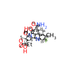 CC[C@@]1(O)C(=O)OCc2c1cc1n(c2=O)Cc2c-1nc1cc(F)c(C)c3c1c2[C@H](C(C(N)=O)C(C)O)CC3